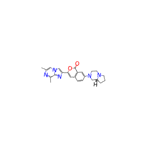 Cc1cn2cc(-c3cc4ccc(N5CCN6CCC[C@@H]6C5)cc4c(=O)o3)nc2c(C)n1